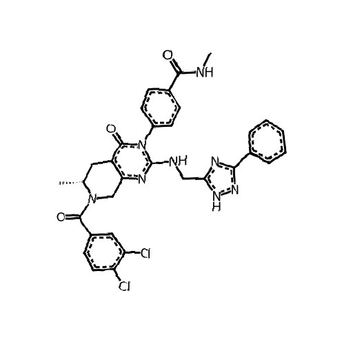 CNC(=O)c1ccc(-n2c(NCc3nc(-c4ccccc4)n[nH]3)nc3c(c2=O)C[C@@H](C)N(C(=O)c2ccc(Cl)c(Cl)c2)C3)cc1